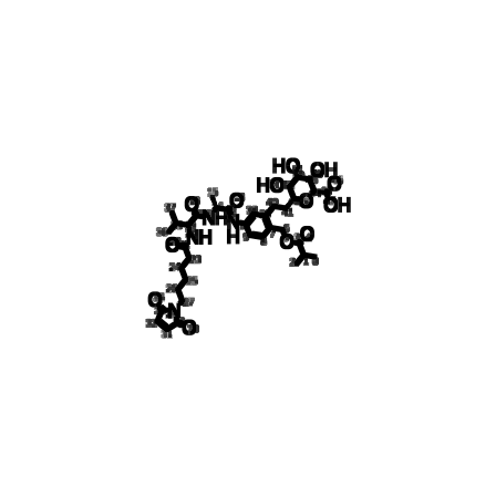 CC(C)C(=O)OCc1ccc(NC(=O)[C@H](C)NC(=O)[C@@H](NC(=O)CCCCCN2C(=O)C=CC2=O)C(C)C)cc1CC[C@@H]1O[C@H](C(=O)O)[C@@H](O)[C@H](O)[C@H]1O